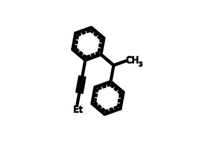 CCC#Cc1ccccc1C(C)c1ccccc1